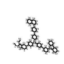 C=Cc1sc2ccc(-c3ccc(N(c4ccc(-c5ccc(-c6cccc7ccccc67)cc5)cc4)c4ccc(-c5cccc(-n6c7ccccc7c7ccccc76)c5)cc4)cc3)cc2c1C=C